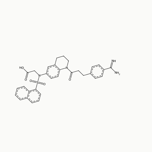 N=C(N)c1ccc(CCC(=O)N2CCCc3cc(N(CC(=O)O)S(=O)(=O)c4cccc5ccccc45)ccc32)cc1